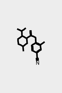 C=C(Cc1ccc(C#N)cc1C)C1CC(C)CCC1C(C)C